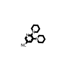 N#Cc1cnc(N2CCCCC2)c(N2CCCCC2)c1